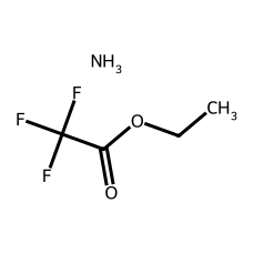 CCOC(=O)C(F)(F)F.N